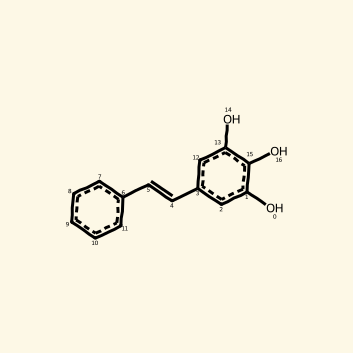 Oc1cc(/C=C/c2ccccc2)cc(O)c1O